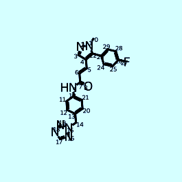 Cn1ncc(C=CC(=O)Nc2ccc(Cn3ncnn3)cc2)c1-c1ccc(F)cc1